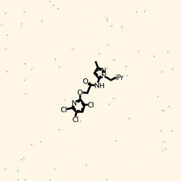 Cc1cc(NC(=O)COc2nc(Cl)c(Cl)cc2Cl)n(CC(C)C)n1